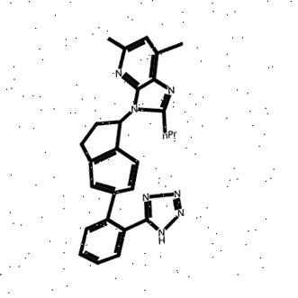 CCCc1nc2c(C)cc(C)nc2n1C1CCc2cc(-c3ccccc3-c3nnn[nH]3)ccc21